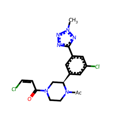 CC(=O)N1CCN(C(=O)/C=C\Cl)C[C@H]1c1cc(Cl)cc(-c2nnn(C)n2)c1